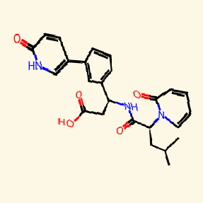 CC(C)C[C@@H](C(=O)N[C@@H](CC(=O)O)c1cccc(-c2ccc(=O)[nH]c2)c1)n1ccccc1=O